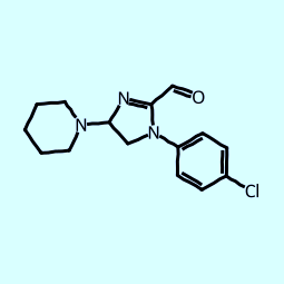 O=CC1=NC(N2CCCCC2)CN1c1ccc(Cl)cc1